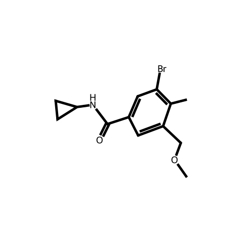 COCc1cc(C(=O)NC2CC2)cc(Br)c1C